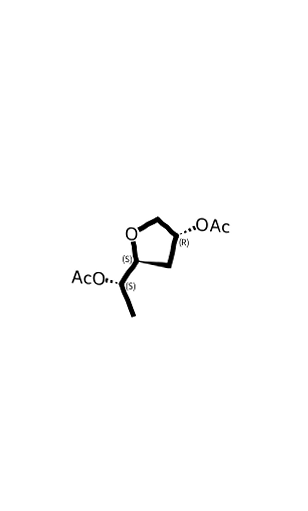 CC(=O)O[C@H]1CO[C@H]([C@H](C)OC(C)=O)C1